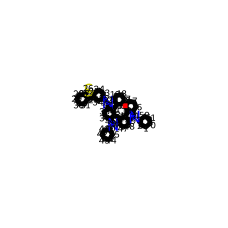 c1ccc(-n2c3ccccc3c3c4c5c6c7ccccc7n(-c7ccc8sc9ccccc9c8c7)c6ccc5n(-c5ccccc5)c4ccc32)cc1